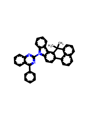 CC1(C)c2cccc3cccc(c23)-c2ccc3c(c21)c1ccccc1n3-c1nc(-c2ccccc2)c2ccccc2n1